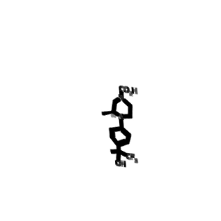 C[C@H]1CN(C(=O)O)CCN1c1ccc(C(C)(O)C(F)(F)F)cc1